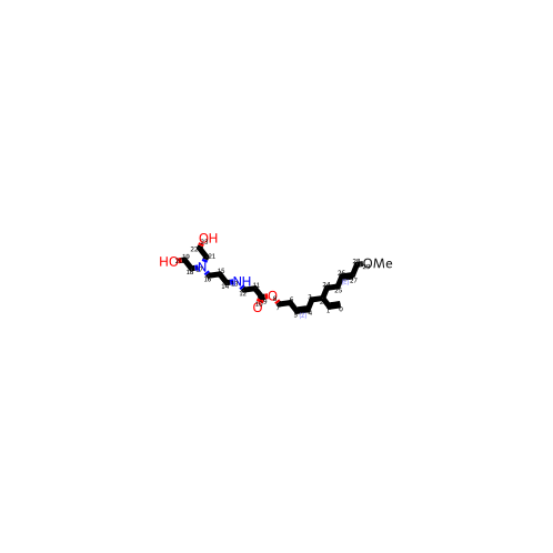 C=CC(C/C=C\CCOC(=O)CCNCCCN(CCO)CCO)CC/C=C/COC